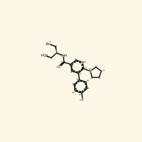 CC(C)C[C@H](CO)NC(=O)c1cnc(N2CCCC2)c(-c2ccc(F)cc2)c1